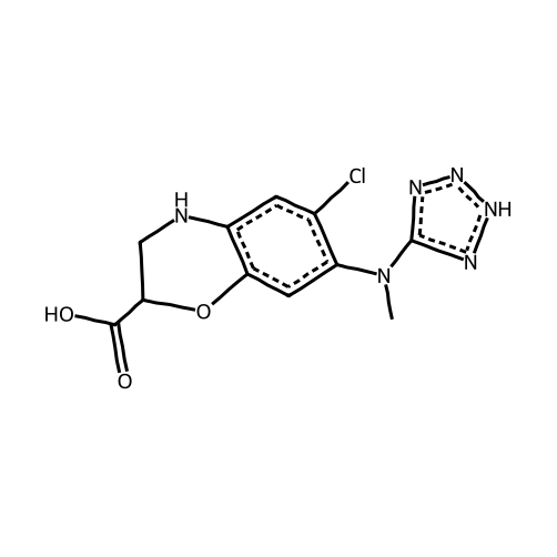 CN(c1nn[nH]n1)c1cc2c(cc1Cl)NCC(C(=O)O)O2